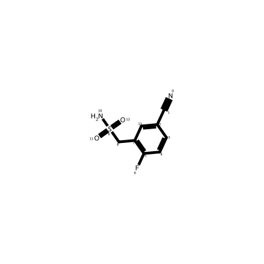 N#Cc1ccc(F)c(CS(N)(=O)=O)c1